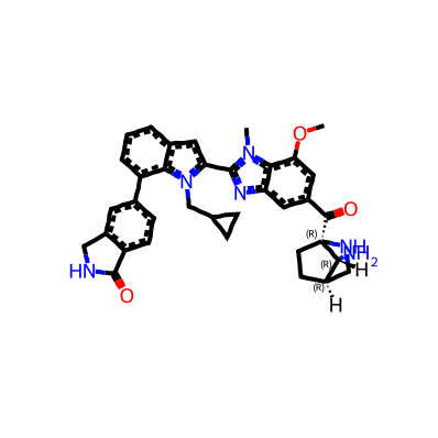 COc1cc(C(=O)[C@]23CC[C@H](CN2)[C@H]3N)cc2nc(-c3cc4cccc(-c5ccc6c(c5)CNC6=O)c4n3CC3CC3)n(C)c12